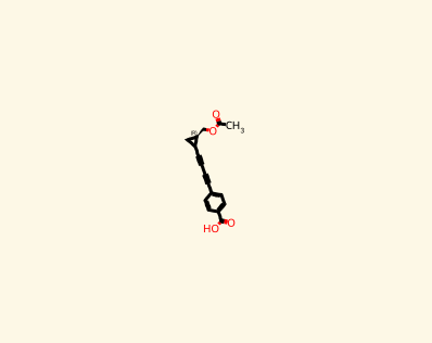 CC(=O)OC[C@@H]1CC1C#CC#Cc1ccc(C(=O)O)cc1